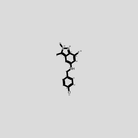 Cc1c2cc(NCc3ccc(Cl)cc3)cc(F)c2nn1C